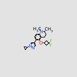 CC1CCc2c(ccc(-c3cnn(C4CC4)c3)c2OC2CC(F)(F)C2)N1C